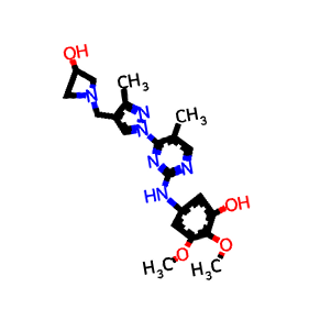 COc1cc(Nc2ncc(C)c(-n3cc(CN4CC(O)C4)c(C)n3)n2)cc(O)c1OC